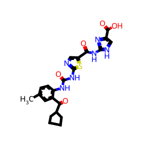 Cc1ccc(NC(=O)Nc2ncc(C(=O)Nc3nc(C(=O)O)c[nH]3)s2)c(C(=O)C2CCCC2)c1